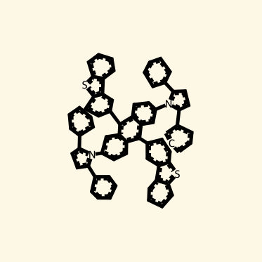 c1ccc(-c2ccc(-c3ccccc3)n2-c2ccc3c(-c4ccc5sc6ccccc6c5c4)c4cc(-n5c(-c6ccccc6)ccc5-c5ccccc5)ccc4c(-c4ccc5sc6ccccc6c5c4)c3c2)cc1